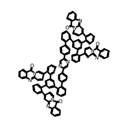 O=c1c2ccccc2nc2cc(-c3ccccc3-c3cc(-c4ccccc4-c4ccc(-c5cnc(-c6ccc(-c7ccccc7-c7cc(-c8ccccc8-c8ccn9c(=O)c%10ccccc%10nc9c8)cc(-c8ccccc8-c8ccc9nc%10ccccc%10c(=O)n9c8)c7)cc6)cn5)cc4)cc(-c4ccccc4-c4ccn5c(=O)c6ccccc6nc5c4)c3)ccn12